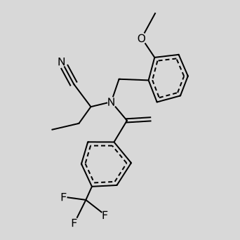 C=C(c1ccc(C(F)(F)F)cc1)N(Cc1ccccc1OC)C(C#N)CC